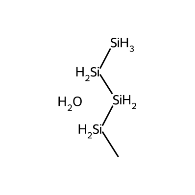 C[SiH2][SiH2][SiH2][SiH3].O